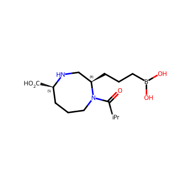 CC(C)C(=O)N1CCC[C@@H](C(=O)O)NC[C@H]1CCCB(O)O